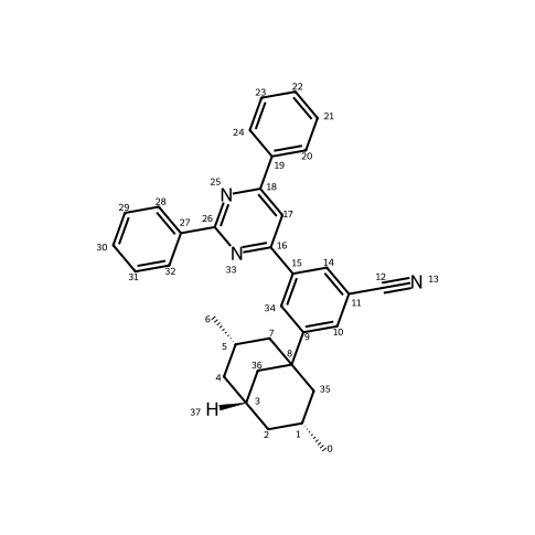 C[C@@H]1C[C@@H]2C[C@H](C)CC(c3cc(C#N)cc(-c4cc(-c5ccccc5)nc(-c5ccccc5)n4)c3)(C1)C2